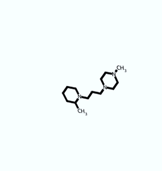 CC1CCCCN1C[CH]CN1CCN(C)CC1